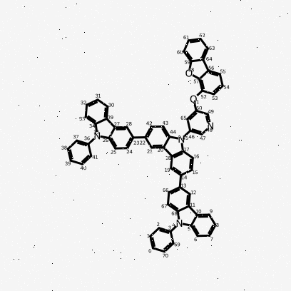 c1ccc(-n2c3ccccc3c3cc(-c4ccc5c(c4)c4cc(-c6ccc7c(c6)c6ccccc6n7-c6ccccc6)ccc4n5-c4cncc(Oc5cccc6c5oc5ccccc56)c4)ccc32)cc1